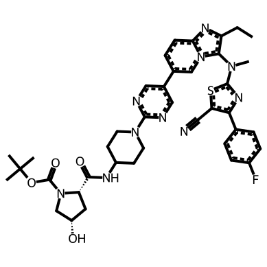 CCc1nc2ccc(-c3cnc(N4CCC(NC(=O)[C@@H]5C[C@H](O)CN5C(=O)OC(C)(C)C)CC4)nc3)cn2c1N(C)c1nc(-c2ccc(F)cc2)c(C#N)s1